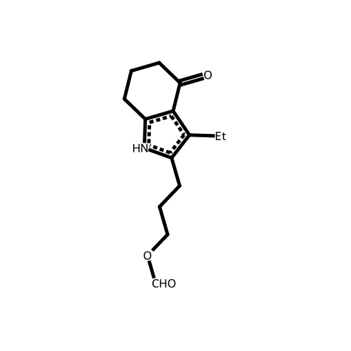 CCc1c(CCCOC=O)[nH]c2c1C(=O)CCC2